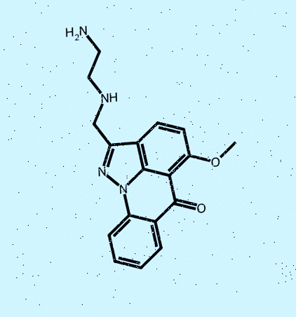 COc1ccc2c(CNCCN)nn3c4ccccc4c(=O)c1c23